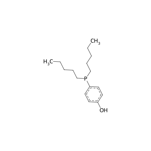 CCCCCP(CCCCC)c1ccc(O)cc1